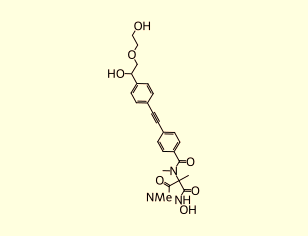 CNC(=O)C(C)(C(=O)NO)N(C)C(=O)c1ccc(C#Cc2ccc(C(O)COCCO)cc2)cc1